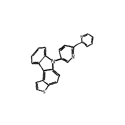 c1ccc(-c2ccc(-n3c4ccccc4c4c5ccsc5ccc43)cn2)nc1